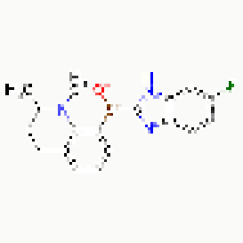 CC1CCc2cccc([S+]([O-])c3nc4ccc(F)cc4[nH]3)c2N1C